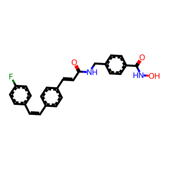 O=C(/C=C/c1ccc(/C=C\c2ccc(F)cc2)cc1)NCc1ccc(C(=O)NO)cc1